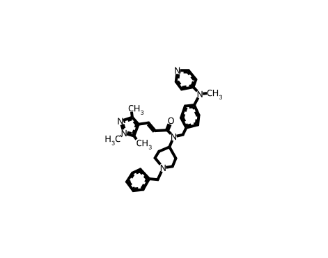 Cc1nn(C)c(C)c1C=CC(=O)N(Cc1ccc(N(C)c2ccncc2)cc1)C1CCN(Cc2ccccc2)CC1